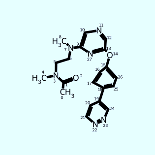 CC(=O)N(C)CCN(C)c1cncc(Oc2ccc(-c3ccnnc3)cc2)n1